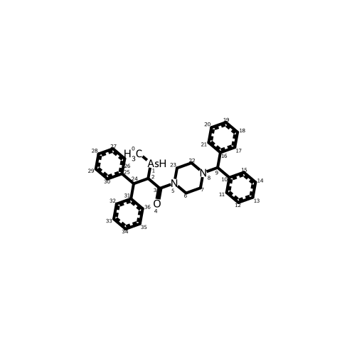 C[AsH]C(C(=O)N1CCN(C(c2ccccc2)c2ccccc2)CC1)C(c1ccccc1)c1ccccc1